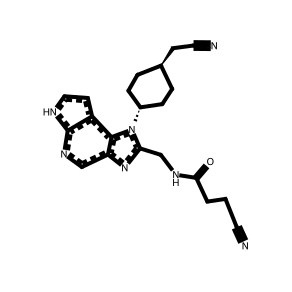 N#CCCC(=O)NCc1nc2cnc3[nH]ccc3c2n1[C@H]1CC[C@H](CC#N)CC1